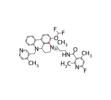 Cc1ccncc1CN(c1ccccc1-c1ccc(OC(F)F)cc1)C1CCN([C@H](C)CCNC(=O)c2c(C)cc(F)nc2C)CC1